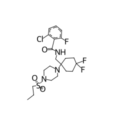 CCCS(=O)(=O)N1CCN(C2(CNC(=O)c3c(F)cccc3Cl)CCC(F)(F)CC2)CC1